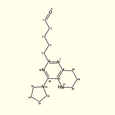 O=CCCCCc1nc2c(c(N3CCCC3)n1)NCCC2